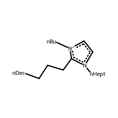 CCCCCCCCCCCCCc1n(CCCCCCC)cc[n+]1CCCC